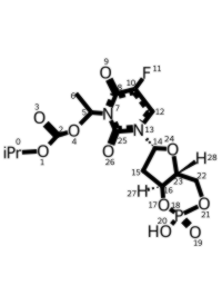 CC(C)OC(=O)OC(C)n1c(=O)c(F)cn([C@H]2C[C@@H]3OP(=O)(O)OC[C@H]3O2)c1=O